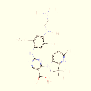 COc1cc(N(C)CCN(C)C)c([N+](=O)[O-])cc1Nc1ncc(C(=O)OC(C)C)c(N2CC(C)(C)c3nc(C(F)(F)F)ccc32)n1